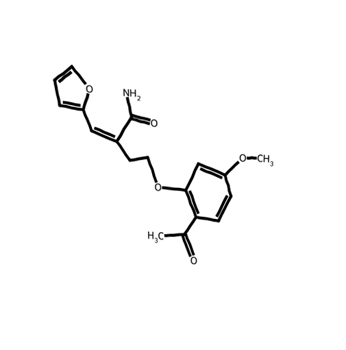 COc1ccc(C(C)=O)c(OCCC(=Cc2ccco2)C(N)=O)c1